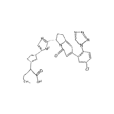 CCC(C(=O)O)c1cc(-c2cnc([C@@H]3CCc4cc(-c5cc(Cl)ccc5-n5cnnn5)cc(=O)n43)[nH]2)cs1